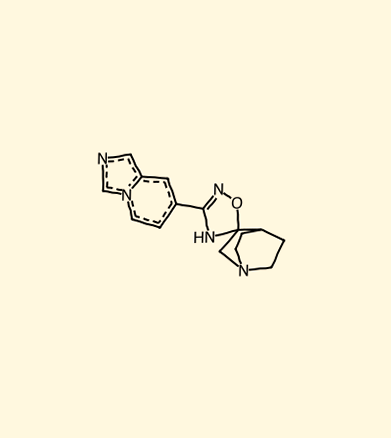 c1cn2cncc2cc1C1=NOC2(CN3CCC2CC3)N1